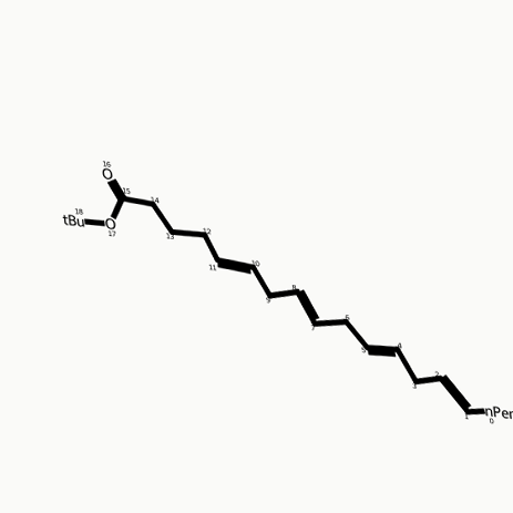 CCCCCC=CCC=CCC=CCC=CCCCC(=O)OC(C)(C)C